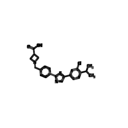 CC(C)c1ccc(-c2cnc(-c3ccc(CN4CC(C(=O)O)C4)cc3)s2)cc1Cl